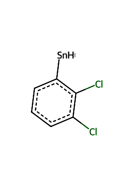 Clc1ccc[c]([SnH])c1Cl